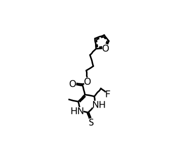 CC1=C(C(=O)OCCCc2ccco2)C(CF)NC(=S)N1